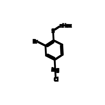 CCCCCCSc1cc[c]([Mg][Cl])cc1Br